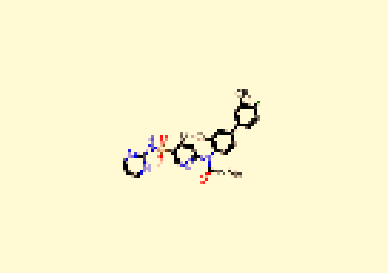 CNC(=O)N(c1ccc(S(=O)(=O)Nc2ncccn2)cn1)c1ccc(-c2ccc(F)c(C(F)(F)F)c2)cc1OC